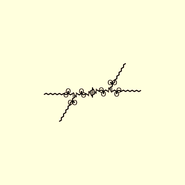 CCCCCCCCCCOC(=O)CCN(CCC(=O)OCCCCCCCCCC)CCC(=O)OCCN1CC(C)N(CCOC(=O)CCN(CCC(=O)OCCCCCCCCCC)CCC(=O)OCCCCCCCCCC)CC1C